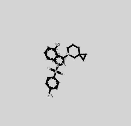 Cc1ccc(S(=O)(=O)n2nc(N3CCCC4(CC4)C3)c3c(Cl)cccc32)cc1